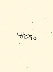 CC(=O)C1CCC2C3CCC4CC(OC(=O)c5ccccc5)CCC4(C)C3CC(=O)C12C